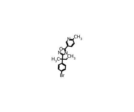 CCC(C)(c1ccc(Br)cc1)c1noc(-c2ccc(C)nc2)n1